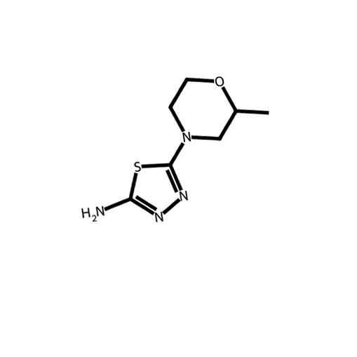 CC1CN(c2nnc(N)s2)CCO1